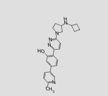 Cc1ccc(-c2ccc(-c3ccc(N4CCC(NC5CCC5)C4)nn3)c(O)c2)cn1